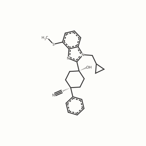 CSc1cccc2c1nc([C@]1(O)CC[C@](C#N)(c3ccccc3)CC1)n2CC1CC1